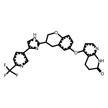 O=C1CCc2c(Oc3ccc4c(c3)CC(c3nc(-c5ccc(C(F)(F)F)nc5)c[nH]3)CO4)ccnc2N1